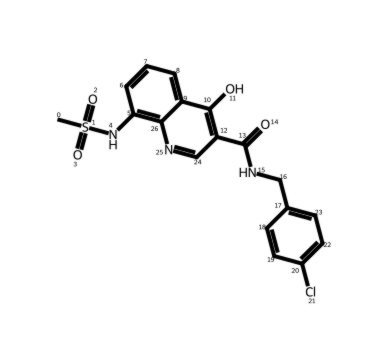 CS(=O)(=O)Nc1cccc2c(O)c(C(=O)NCc3ccc(Cl)cc3)cnc12